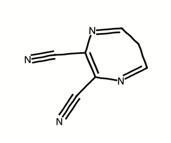 N#CC1=C(C#N)N=CCC=N1